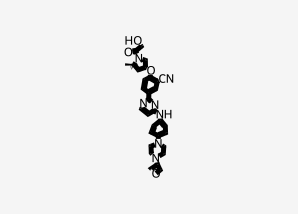 C[C@@H]1CC(Oc2ccc(-c3nccc(Nc4ccc(N5CCN(C6COC6)CC5)cc4)n3)cc2C#N)CN1C(=O)CO